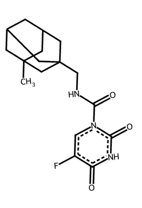 CC12CC3CC(C1)CC(CNC(=O)n1cc(F)c(=O)[nH]c1=O)(C3)C2